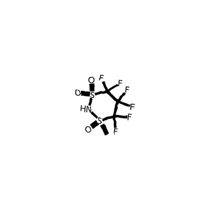 C=S1(=O)NS(=O)(=O)C(F)(F)C(F)(F)C1(F)F